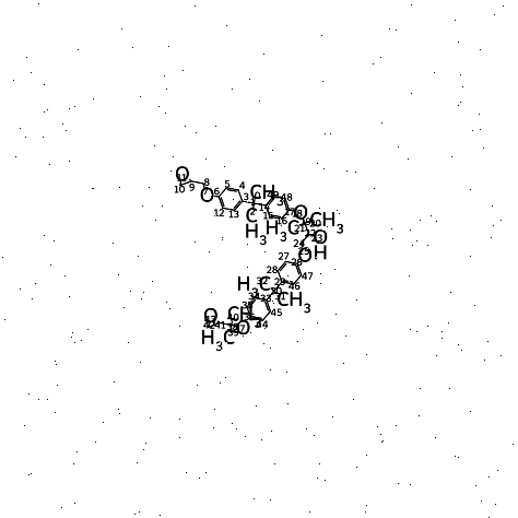 CC(C)(c1ccc(OCC2CO2)cc1)c1ccc(OC(C)(C)C(O)COc2ccc(C(C)(C)c3ccc(OC(C)(C)C4CO4)cc3)cc2)cc1